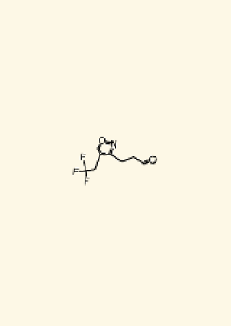 O=CCCc1nocc1CC(F)(F)F